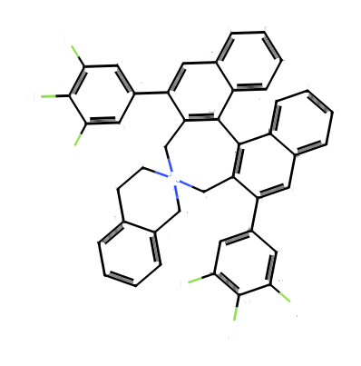 Fc1cc(-c2cc3ccccc3c3c2C[N+]2(CCc4ccccc4C2)Cc2c(-c4cc(F)c(F)c(F)c4)cc4ccccc4c2-3)cc(F)c1F